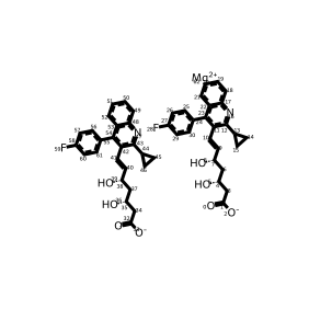 O=C([O-])C[C@H](O)C[C@H](O)/C=C/c1c(C2CC2)nc2ccccc2c1-c1ccc(F)cc1.O=C([O-])C[C@H](O)C[C@H](O)/C=C/c1c(C2CC2)nc2ccccc2c1-c1ccc(F)cc1.[Mg+2]